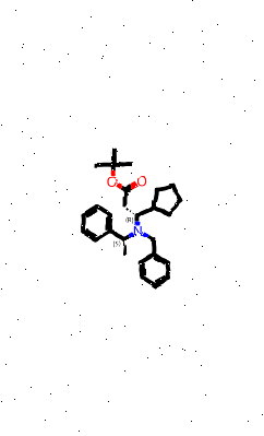 C[C@@H](c1ccccc1)N(Cc1ccccc1)[C@H](CC(=O)OC(C)(C)C)C1CCCC1